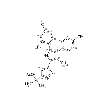 CC(=O)OC(C)(C)c1nnc(-c2nn(-c3ccc(Cl)cc3Cl)c(-c3ccc(Cl)cc3)c2C)o1